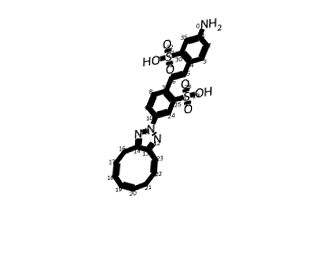 Nc1ccc(/C=C/c2ccc(-n3nc4c(n3)C/C=C\C=C/C/C=C\4)cc2S(=O)(=O)O)c(S(=O)(=O)O)c1